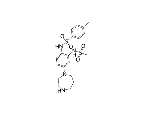 Cc1ccc(S(=O)(=O)Nc2ccc(N3CCCNCC3)cc2NS(C)(=O)=O)cc1